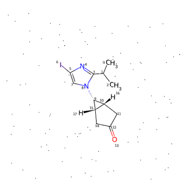 CC(C)c1nc(I)cn1[C@@H]1[C@@H]2CC(=O)C[C@@H]21